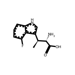 C[C@@H](c1c[nH]c2cccc(F)c12)[C@H](N)C(=O)O